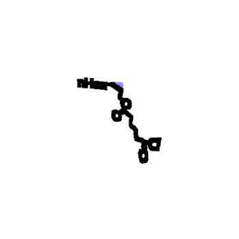 CCCCCC/C=C\COC(=O)CCCCC(=O)Cl